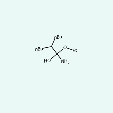 CCCCC(CCCC)C(N)(O)OCC